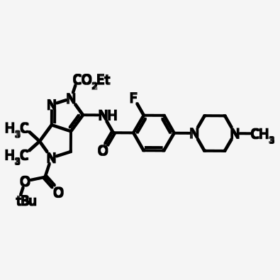 CCOC(=O)n1nc2c(c1NC(=O)c1ccc(N3CCN(C)CC3)cc1F)CN(C(=O)OC(C)(C)C)C2(C)C